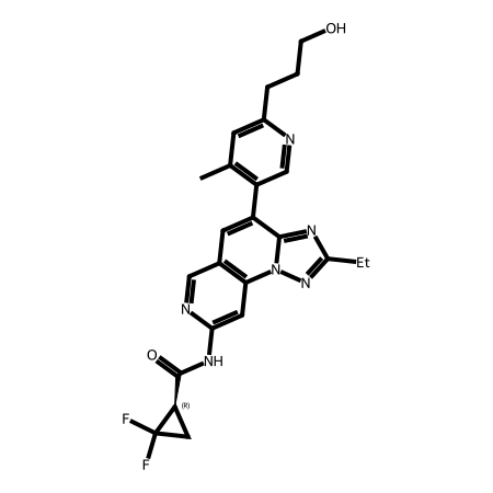 CCc1nc2c(-c3cnc(CCCO)cc3C)cc3cnc(NC(=O)[C@H]4CC4(F)F)cc3n2n1